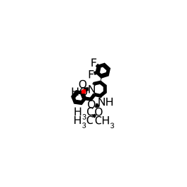 CC(C)(C)OC(=O)N[C@@H]1CC[C@@H](c2cccc(F)c2F)CN(C(=O)O)C1Cc1ccccc1